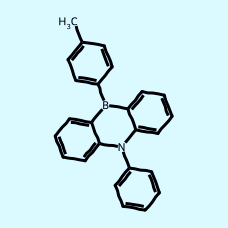 Cc1ccc(B2c3ccccc3N(c3ccccc3)c3ccccc32)cc1